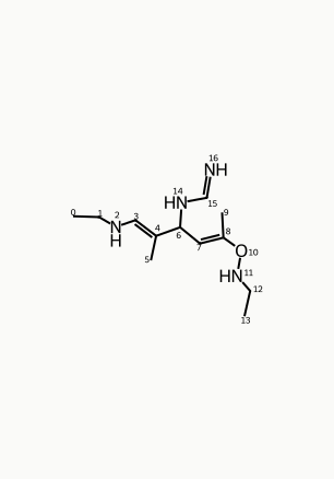 CCN/C=C(\C)C(/C=C(\C)ONCC)NC=N